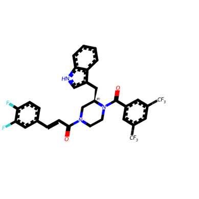 O=C(C=Cc1ccc(F)c(F)c1)N1CCN(C(=O)c2cc(C(F)(F)F)cc(C(F)(F)F)c2)[C@H](Cc2c[nH]c3ccccc23)C1